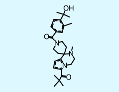 Cc1cc(C(=O)N2CCC3(CC2)c2ccc(C(=O)C(C)(C)C)n2CCN3C)ccc1C(C)(C)O